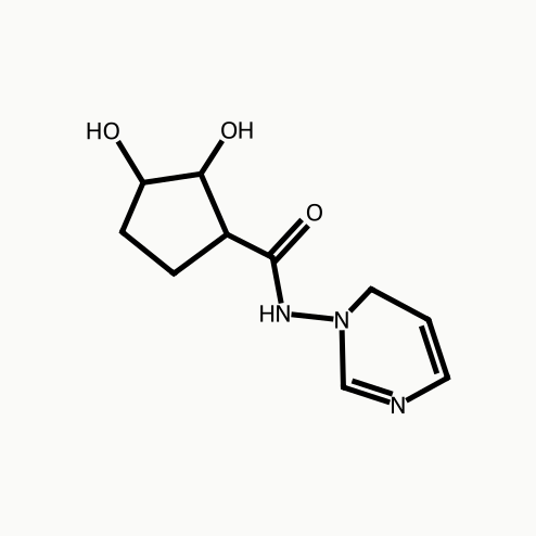 O=C(NN1C=NC=CC1)C1CCC(O)C1O